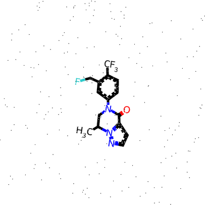 CC1CN(c2ccc(C(F)(F)F)c(CF)c2)C(=O)c2ccnn21